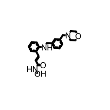 O=C(/C=C/c1ccccc1NCc1cccc(CN2CCOCC2)c1)NO